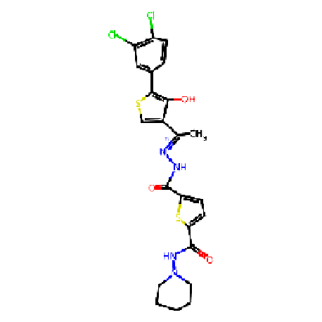 C/C(=N\NC(=O)c1ccc(C(=O)NN2CCCCC2)s1)c1csc(-c2ccc(Cl)c(Cl)c2)c1O